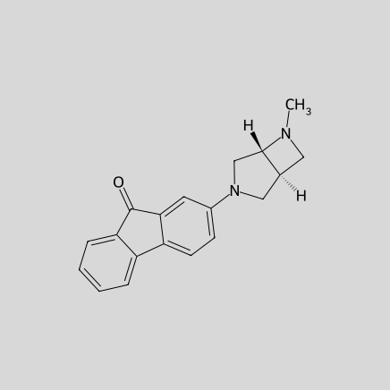 CN1C[C@H]2CN(c3ccc4c(c3)C(=O)c3ccccc3-4)C[C@@H]21